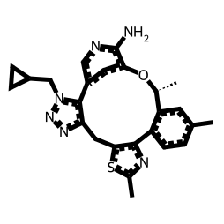 Cc1ccc2c(c1)[C@@H](C)Oc1cc(cnc1N)-c1c(nnn1CC1CC1)Cc1sc(C)nc1-2